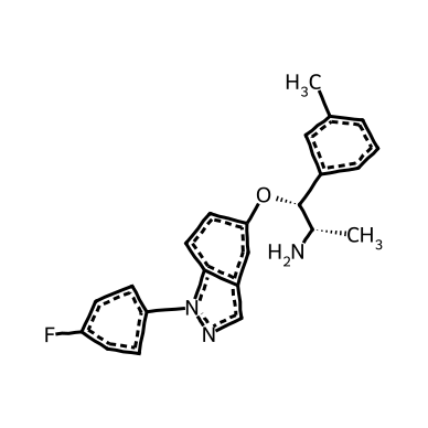 Cc1cccc([C@@H](Oc2ccc3c(cnn3-c3ccc(F)cc3)c2)[C@H](C)N)c1